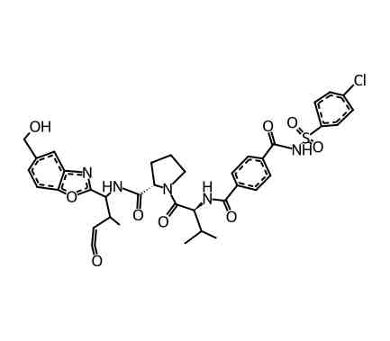 CC(C=C=O)C(NC(=O)[C@@H]1CCCN1C(=O)[C@@H](NC(=O)c1ccc(C(=O)NS(=O)(=O)c2ccc(Cl)cc2)cc1)C(C)C)c1nc2cc(CO)ccc2o1